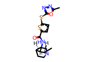 Cc1nnc(Sc2ccc(C(=O)N[C@@H]3C4CCN(CC4)[C@H]3C)s2)o1